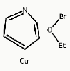 CCOBr.[Cu].c1ccncc1